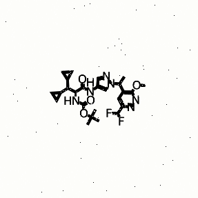 COc1nnc(C(F)F)cc1C(C)n1cc(NC(=O)[C@@H](NC(=O)OC(C)(C)C)C(C2CC2)C2CC2)cn1